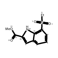 CCS(=O)(=O)c1cccc2cc(C(=O)OC)[nH]c12